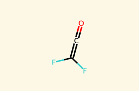 O=C=C(F)F